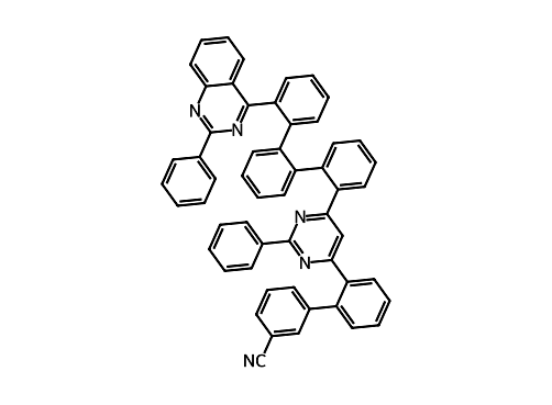 N#Cc1cccc(-c2ccccc2-c2cc(-c3ccccc3-c3ccccc3-c3ccccc3-c3nc(-c4ccccc4)nc4ccccc34)nc(-c3ccccc3)n2)c1